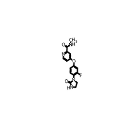 CNC(=O)c1cc(Oc2ccc(N3CCNC3=O)c(F)c2)ccn1